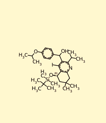 CC(C)Oc1ccc(C(O)c2c(C(C)C)nc3c(c2I)[C@H](O[Si](C)(C)C(C)(C)C)CC(C)(C)C3)cc1